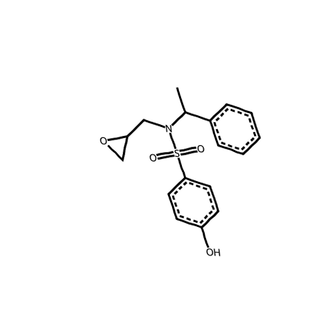 CC(c1ccccc1)N(CC1CO1)S(=O)(=O)c1ccc(O)cc1